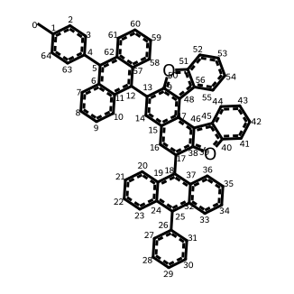 Cc1ccc(-c2c3ccccc3c(-c3cc4cc(-c5c6ccccc6c(-c6ccccc6)c6ccccc56)c5oc6ccccc6c5c4c4c3oc3ccccc34)c3ccccc23)cc1